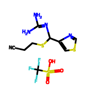 N#CCCSC(N=C(N)N)c1cscn1.O=S(=O)(O)C(F)(F)F